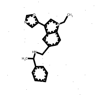 CCn1cc(-c2cnco2)c2cc(CNC(C)c3ccccc3)ccc21